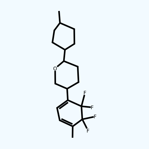 CC1=CC=C(C2CCC(C3CCC(C)CC3)OC2)C(F)(F)C1(F)F